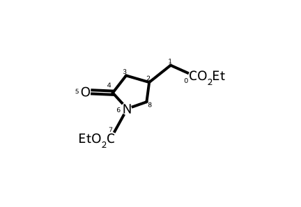 CCOC(=O)CC1CC(=O)N(C(=O)OCC)C1